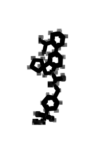 CNS(=O)(=O)c1ccc(CNC(=O)N2CC3(CCCC3)c3cc(-c4ccccc4C(F)F)ccc32)cc1